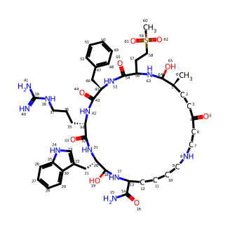 C[C@H]1CCC(=O)CCNCCCCC(C(N)=O)NC(O)[C@H](Cc2c[nH]c3ccccc23)NC(=O)[C@H](CCCNC(=N)N)NC(=O)[C@@H](Cc2ccccc2)NC(=O)C(CCS(C)(=O)=O)NC1O